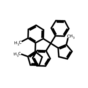 CC1=C(c2c(C)cccc2C(C2=C(C)C=CC2)(c2ccccc2)c2ccccc2)CC=C1